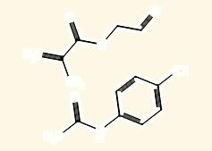 C=C(C)C(=O)OCC=O.CC(=O)Nc1ccc(O)cc1